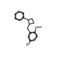 COc1ccc(Br)cc1CC1CCC1c1ccccc1